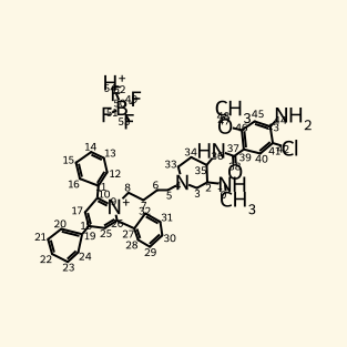 CNC1CN(CCCC[n+]2c(-c3ccccc3)cc(-c3ccccc3)cc2-c2ccccc2)CCC1NC(=O)c1cc(Cl)c(N)cc1OC.F[B-](F)(F)F.[H+]